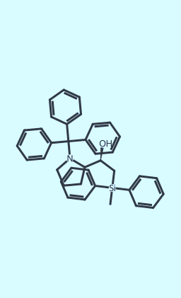 C[Si](C[C@H](O)C1CCCN1C(c1ccccc1)(c1ccccc1)c1ccccc1)(c1ccccc1)c1ccccc1